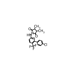 CC1C(=O)N(Nc2ccc(C(F)(F)F)c(-c3ccc(Cl)cc3)n2)C(=O)C1C